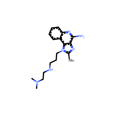 CCCCc1nc2c(N)nc3ccccc3c2n1CCCNCCN(C)C